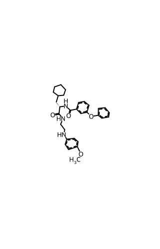 COc1ccc(NCCNC(=O)[C@H](CC2CCCCC2)NC(=O)c2cccc(Oc3ccccc3)c2)cc1